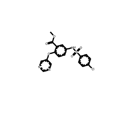 COC(=O)c1cc(NS(=O)(=O)c2ccc(Cl)cc2)ccc1Oc1cncnc1